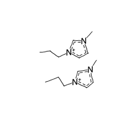 CCC[n+]1ccn(C)c1.CCC[n+]1ccn(C)c1